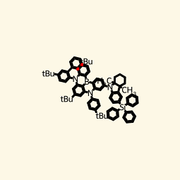 CC(C)(C)c1ccc(N2c3cc(N4c5ccc([Si](c6ccccc6)(c6ccccc6)c6ccccc6)cc5C5(C)CCCCC45C)ccc3B3c4ccc(C(C)(C)C)cc4N(c4ccc(C(C)(C)C)cc4-c4ccccc4)c4cc(C(C)(C)C)cc2c43)cc1